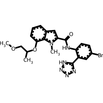 COCC(C)Oc1cccc2cc(C(=O)Nc3ccc(Br)cc3-c3nnn[nH]3)n(C)c12